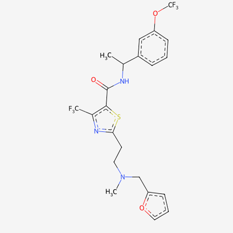 CC(NC(=O)c1sc(CCN(C)Cc2ccco2)nc1C(F)(F)F)c1cccc(OC(F)(F)F)c1